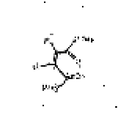 CC/C(C(=O)OC)=C(/C(=O)OC)C(C)C